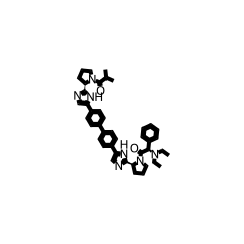 CCN(CC)[C@@H](C(=O)N1CCC[C@H]1c1ncc(-c2ccc(-c3ccc(-c4cnc([C@@H]5CCCN5C(=O)[C](C)C)[nH]4)cc3)cc2)[nH]1)c1ccccc1